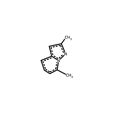 Cc1cc2cccc(C)n2n1